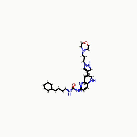 O=C(NCCCCC1CCCCC1)Nc1ccc2c(n1)C=C(C1=CN(CCCN3CCOCC3)NC1)CN2